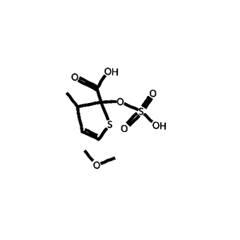 CC1C=CSC1(OS(=O)(=O)O)C(=O)O.COC